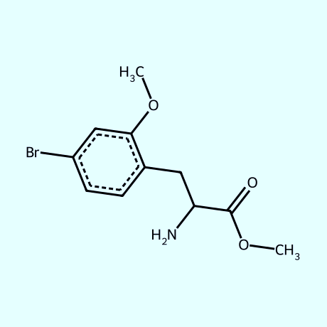 COC(=O)C(N)Cc1ccc(Br)cc1OC